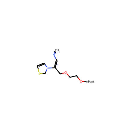 C=N/C=C(/COCCOCCCCC)N1C=CSC1